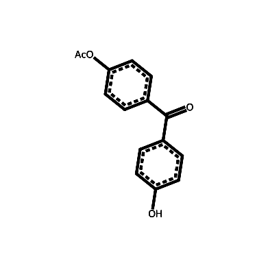 CC(=O)Oc1ccc(C(=O)c2ccc(O)cc2)cc1